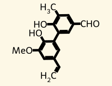 C=Cc1cc(OC)c(O)c(-c2cc(C=O)cc(C)c2O)c1